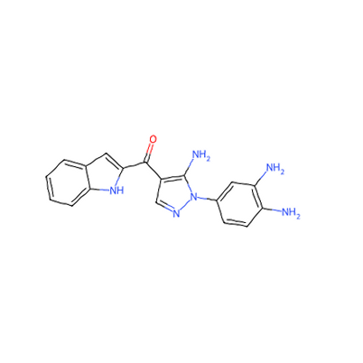 Nc1ccc(-n2ncc(C(=O)c3cc4ccccc4[nH]3)c2N)cc1N